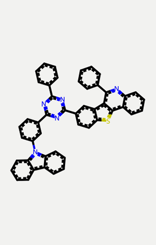 c1ccc(-c2nc(-c3cccc(-n4c5ccccc5c5ccccc54)c3)nc(-c3ccc4sc5c6ccccc6nc(-c6ccccc6)c5c4c3)n2)cc1